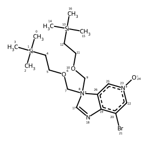 C[Si](C)(C)CCOC[N+]1(COCC[Si](C)(C)C)C=Nc2c(Br)c[n+]([O-])cc21